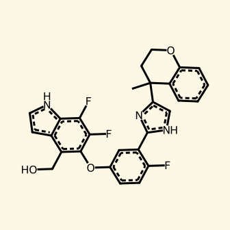 CC1(c2c[nH]c(-c3cc(Oc4c(F)c(F)c5[nH]ccc5c4CO)ccc3F)n2)CCOc2ccccc21